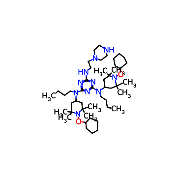 CCCCN(c1nc(NCCN2CCNCC2)nc(N(CCCC)C2CC(C)(C)N(OC3CCCCC3)C(C)(C)C2)n1)C1CC(C)(C)N(OC2CCCCC2)C(C)(C)C1